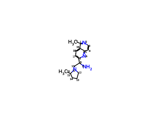 Cc1nccc2nc(C(N)CN3CCCC3C)ccc12